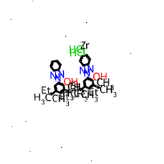 CCC(C)(C)c1cc(-n2nc3ccccc3n2)c(O)c(C(C)(C)CC)c1.CCC(C)(C)c1cc(-n2nc3ccccc3n2)c(O)c(C(C)(C)CC)c1.Cl.Cl.[Zr]